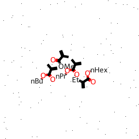 C=C(C)C(=O)OC.C=C(C)C(=O)OCCC.C=C(C)C(=O)OCCCC.C=C(CC)C(=O)OCCCCCC